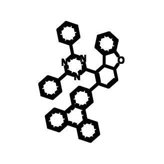 C1=CC2Oc3ccccc3C2C(c2nc(-c3ccccc3)nc(-c3ccccc3)n2)=C1c1ccc2c3ccccc3c3ccccc3c2c1